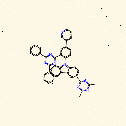 Cc1nc(C)nc(-c2ccc3c(c2)c2ccccc2n3-c2ccc(-c3cccnc3)cc2-c2nc(-c3ccccc3)nc(-c3ccccc3)n2)n1